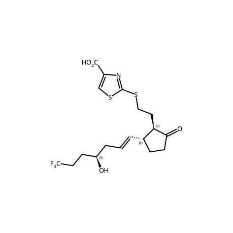 O=C(O)c1csc(SCC[C@H]2C(=O)CC[C@@H]2C=CC[C@@H](O)CCC(F)(F)F)n1